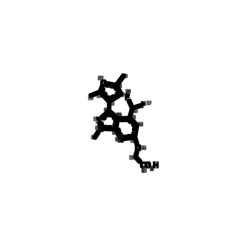 Cc1cc(-c2nn(C)c3nc(OCC(=O)O)cc(C(F)F)c23)c(C)o1